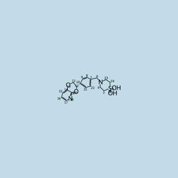 OS1(O)CCN(Cc2ccc([C@H]3COc4cccnc4O3)cc2)CC1